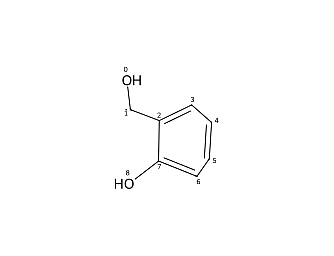 O[CH]c1ccccc1O